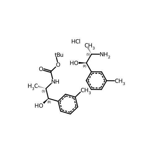 Cc1cccc([C@@H](O)[C@H](C)N)c1.Cc1cccc([C@@H](O)[C@H](C)NC(=O)OC(C)(C)C)c1.Cl